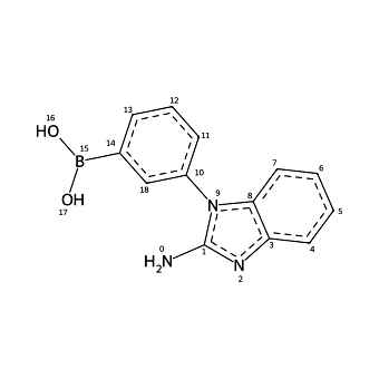 Nc1nc2ccccc2n1-c1cccc(B(O)O)c1